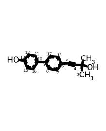 CC(C)(O)C#Cc1ccc(-c2ccc(O)cc2)cc1